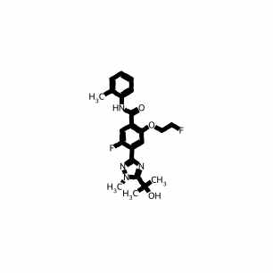 Cc1ccccc1NC(=O)c1cc(F)c(-c2nc(C(C)(C)O)n(C)n2)cc1OCCF